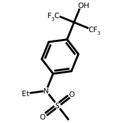 CCN(c1ccc(C(O)(C(F)(F)F)C(F)(F)F)cc1)S(C)(=O)=O